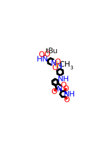 CN(C1CCC(Nc2cccc3c2C(=O)N(C2CCC(=O)NC2=O)C3=O)CC1)S(=O)(=O)N1CCC(NC(=O)OC(C)(C)C)CC1